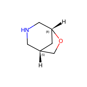 C1NC[C@H]2C[C@@H]1CO2